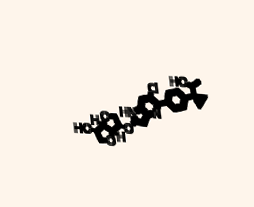 CC(O)C1(c2ccc(-c3nc4cc(O[C@@H]5CO[C@H]6[C@@H]5OC[C@H]6O)[nH]c4cc3Cl)cc2)CC1